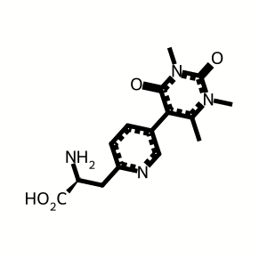 Cc1c(-c2ccc(C[C@H](N)C(=O)O)nc2)c(=O)n(C)c(=O)n1C